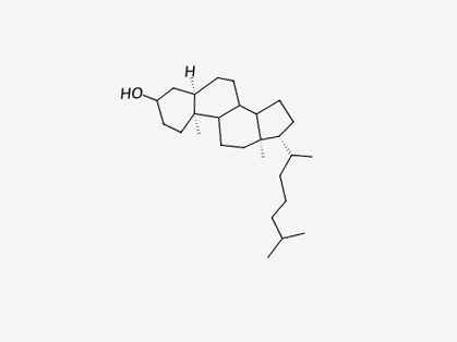 CC(C)CCCC(C)[C@H]1CCC2C3CC[C@@H]4CC(O)CC[C@]4(C)C3CC[C@@]21C